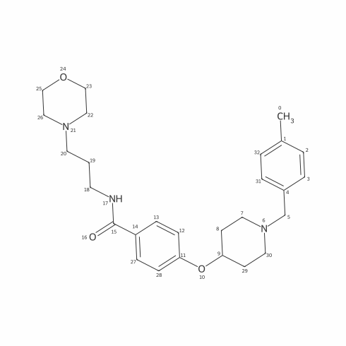 Cc1ccc(CN2CCC(Oc3ccc(C(=O)NCCCN4CCOCC4)cc3)CC2)cc1